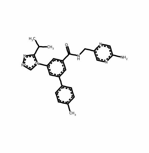 Cc1ccc(-c2cc(C(=O)NCc3cnc(N)cn3)cc(-n3cnnc3C(C)C)c2)cc1